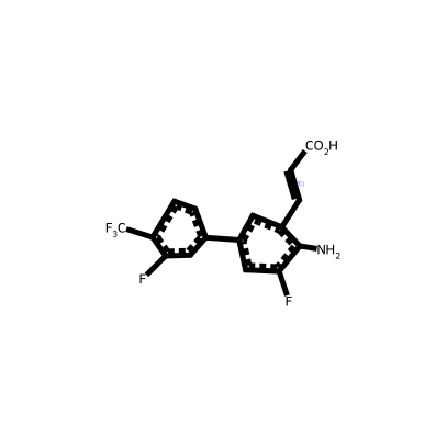 Nc1c(F)cc(-c2ccc(C(F)(F)F)c(F)c2)cc1/C=C/C(=O)O